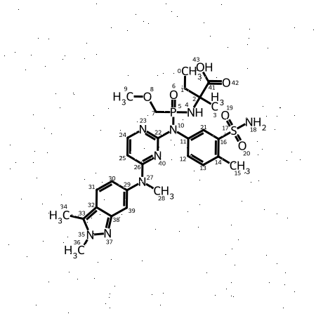 CCC(C)(NP(=O)(COC)N(c1ccc(C)c(S(N)(=O)=O)c1)c1nccc(N(C)c2ccc3c(C)n(C)nc3c2)n1)C(=O)O